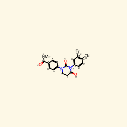 CNC(=O)c1ccc(N2CCC(=O)N(c3ccc(C#N)c(C(F)(F)F)c3)C2=O)cc1